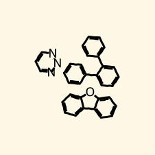 c1ccc(-c2ccccc2-c2ccccc2)cc1.c1ccc2c(c1)oc1ccccc12.c1cnnnc1